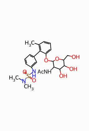 CC(=O)NC1C(Oc2cccc(C)c2-c2cccc(NS(=O)(=O)N(C)C)c2)OC(CO)C(O)C1O